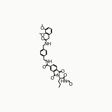 CCCC(C(=O)NC=O)N1C(=O)c2ccc(C(=O)NCc3ccc(CNC(=O)Cc4cccc(OC)c4OC)cc3)cc2C1=O